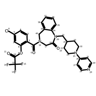 O=C(c1ccc(Cl)cc1OC(=O)C(F)(F)F)N1CC(=O)N(CC2CCN(c3ccncc3)CC2)c2ccccc2C1